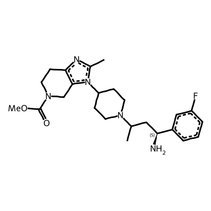 COC(=O)N1CCc2nc(C)n(C3CCN(C(C)C[C@H](N)c4cccc(F)c4)CC3)c2C1